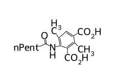 CCCCCC(=O)Nc1c(C)cc(C(=O)O)c(C)c1C(=O)O